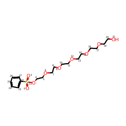 O=S(=O)(OCCOCCOCCOCCOCCOCCO)c1ccccc1